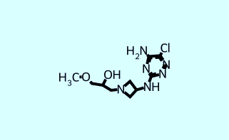 COCC(O)CN1CC(Nc2nnc(Cl)c(N)n2)C1